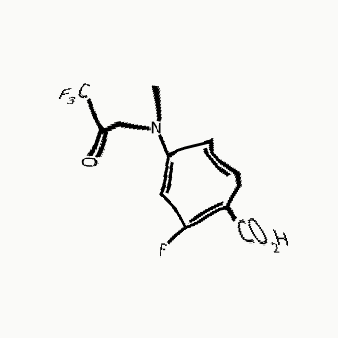 CN(C(=O)C(F)(F)F)c1ccc(C(=O)O)c(F)c1